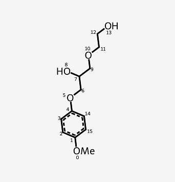 COc1ccc(OCC(O)COCCO)cc1